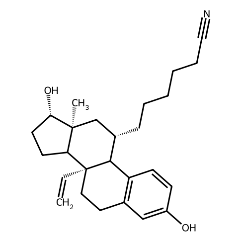 C=C[C@@]12CCc3cc(O)ccc3C1[C@@H](CCCCCC#N)C[C@@]1(C)C2CC[C@@H]1O